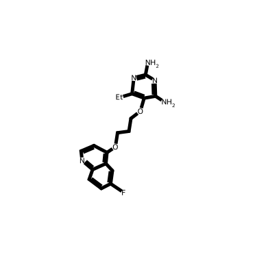 CCc1nc(N)nc(N)c1OCCCOc1ccnc2ccc(F)cc12